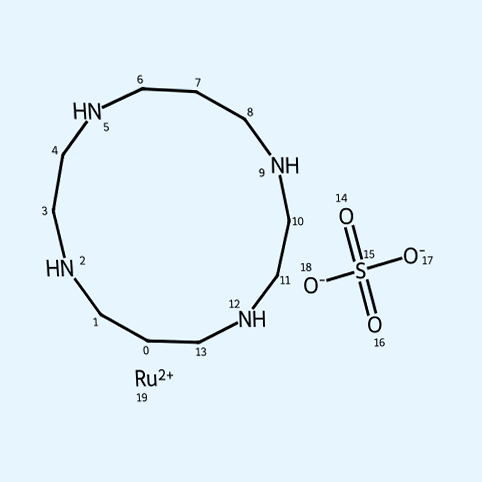 C1CNCCNCCCNCCNC1.O=S(=O)([O-])[O-].[Ru+2]